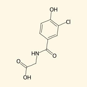 O=C(O)CNC(=O)c1ccc(O)c(Cl)c1